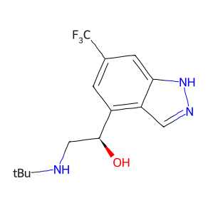 CC(C)(C)NC[C@H](O)c1cc(C(F)(F)F)cc2[nH]ncc12